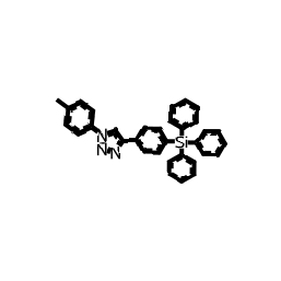 Cc1ccc(-n2cc(-c3ccc([Si](c4ccccc4)(c4ccccc4)c4ccccc4)cc3)nn2)cc1